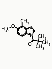 COc1ccc2c(ccn2C(=O)C(C)(C)C)c1C